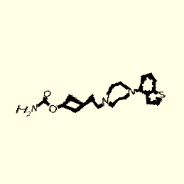 NC(=O)OC1CC(CCN2CCN(c3cccc4sccc34)CC2)C1